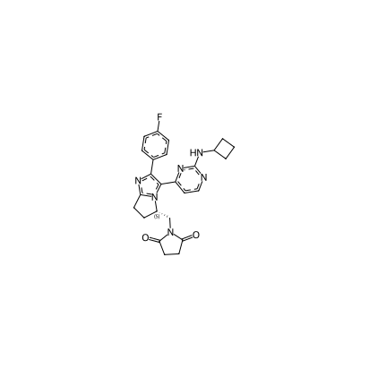 O=C1CCC(=O)N1C[C@@H]1CCc2nc(-c3ccc(F)cc3)c(-c3ccnc(NC4CCC4)n3)n21